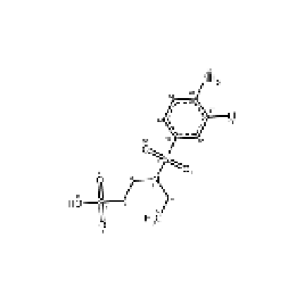 CCN(CCS(=O)(=O)O)S(=O)(=O)c1ccc(N)c(Cl)c1